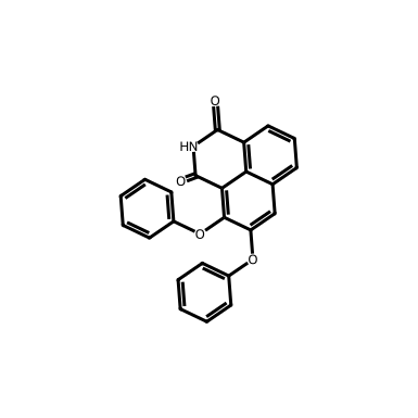 O=C1NC(=O)c2c(Oc3ccccc3)c(Oc3ccccc3)cc3cccc1c23